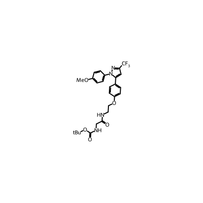 COc1ccc(-n2nc(C(F)(F)F)cc2-c2ccc(OCCNC(=O)CNC(=O)OC(C)(C)C)cc2)cc1